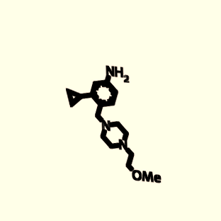 COCCN1CCN(Cc2ccc(N)cc2C2CC2)CC1